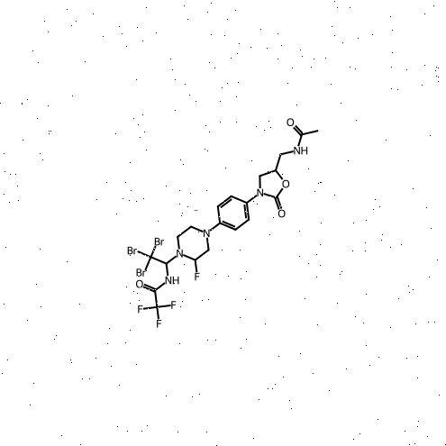 CC(=O)NCC1CN(c2ccc(N3CCN(C(NC(=O)C(F)(F)F)C(Br)(Br)Br)C(F)C3)cc2)C(=O)O1